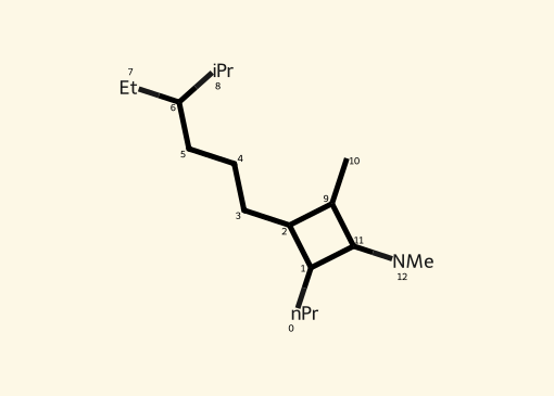 CCCC1C(CCCC(CC)C(C)C)C(C)C1NC